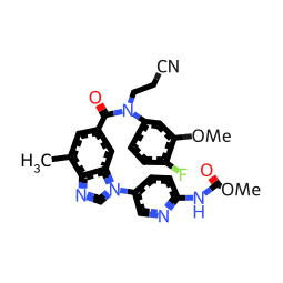 COC(=O)Nc1ccc(-n2cnc3c(C)cc(C(=O)N(CCC#N)c4ccc(F)c(OC)c4)cc32)cn1